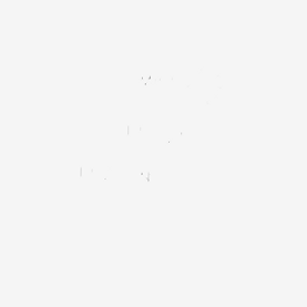 COc1ccccc1CO[C@H]1CN[C@H](C(=O)O)[C@@H]1O